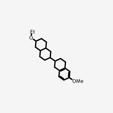 CCOC1CCC2CC(C3CCc4cc(OC)ccc4C3)CCC2C1